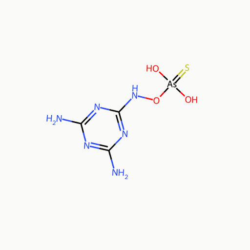 Nc1nc(N)nc(NO[As](O)(O)=S)n1